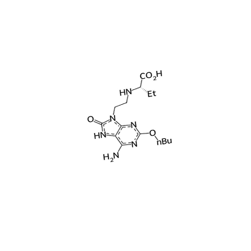 CCCCOc1nc(N)c2[nH]c(=O)n(CCN[C@@H](CC)C(=O)O)c2n1